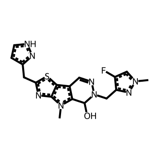 Cn1cc(F)c(CN2N=Cc3c(n(C)c4nc(Cc5cc[nH]n5)sc34)C2O)n1